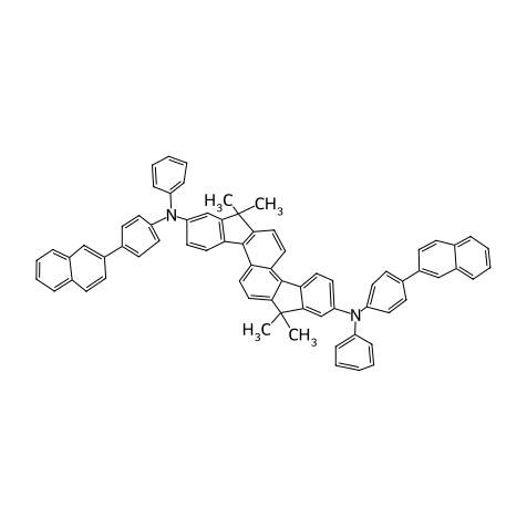 CC1(C)c2cc(N(c3ccccc3)c3ccc(-c4ccc5ccccc5c4)cc3)ccc2-c2c1ccc1c3c(ccc21)C(C)(C)c1cc(N(c2ccccc2)c2ccc(-c4ccc5ccccc5c4)cc2)ccc1-3